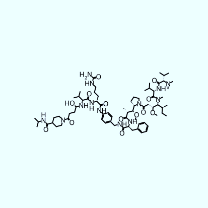 CC[C@H](C)[C@@H]([C@@H](CC(=O)N1CCC[C@H]1[C@H](OC)[C@@H](C)C(=O)N[C@@H](Cc1ccccc1)C(=O)NCc1ccc(NC(=O)[C@H](CCCNC(N)=O)NC(=O)[C@@H](NC(O)CCC(=O)N2CCC(C(=O)NC(C)C)CC2)C(C)C)cc1)OC)N(C)C(=O)[C@@H](NC(=O)[C@H](C(C)C)N(C)C)C(C)C